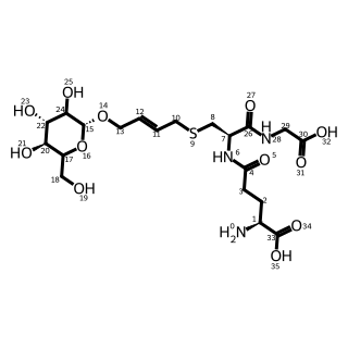 N[C@@H](CCC(=O)N[C@@H](CSC/C=C/CO[C@@H]1OC(CO)[C@@H](O)[C@H](O)C1O)C(=O)NCC(=O)O)C(=O)O